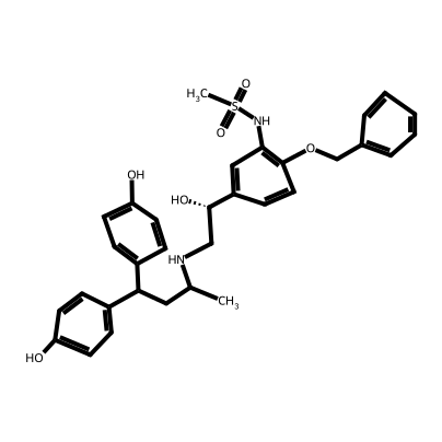 CC(CC(c1ccc(O)cc1)c1ccc(O)cc1)NC[C@H](O)c1ccc(OCc2ccccc2)c(NS(C)(=O)=O)c1